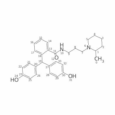 CC1CCCCN1CCCNC(=O)c1ccccc1C(c1ccc(O)cc1)c1ccc(O)cc1